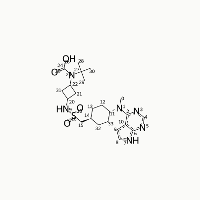 CN(c1ncnc2[nH]ccc12)[C@H]1CC[C@H](CS(=O)(=O)NC2CC(N(C(=O)O)C(C)(C)C)C2)CC1